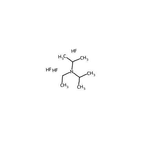 CCN(C(C)C)C(C)C.F.F.F